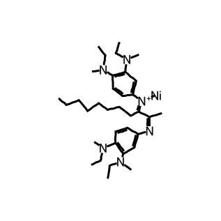 CCCCCCCCC(C(C)=Nc1ccc(N(C)CC)c(N(C)CC)c1)=[N+]([Ni])c1ccc(N(C)CC)c(N(C)CC)c1